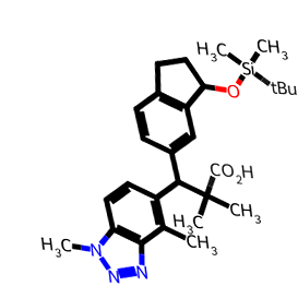 Cc1c(C(c2ccc3c(c2)C(O[Si](C)(C)C(C)(C)C)CC3)C(C)(C)C(=O)O)ccc2c1nnn2C